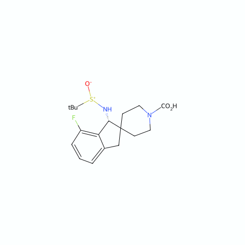 CC(C)(C)[S+]([O-])N[C@H]1c2c(F)cccc2CC12CCN(C(=O)O)CC2